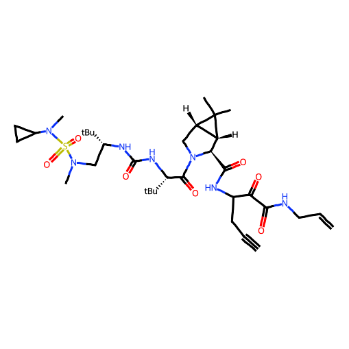 C#CCC(NC(=O)[C@@H]1[C@@H]2[C@H](CN1C(=O)[C@@H](NC(=O)N[C@H](CN(C)S(=O)(=O)N(C)C1CC1)C(C)(C)C)C(C)(C)C)C2(C)C)C(=O)C(=O)NCC=C